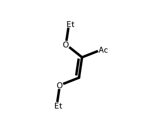 CCOC=C(OCC)C(C)=O